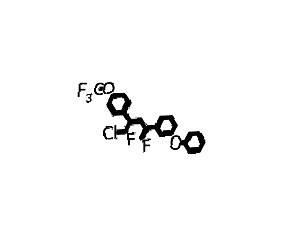 FC=C(C=C(c1ccc(OC(F)(F)F)cc1)C(F)Cl)c1cccc(Oc2ccccc2)c1